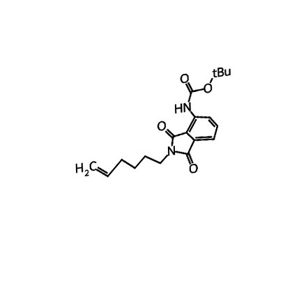 C=CCCCCN1C(=O)c2cccc(NC(=O)OC(C)(C)C)c2C1=O